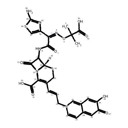 CC(C)(O/N=C(\C(=O)NC1C(=O)N2C(C(=O)O)=C(/C=C/Cn3ccc4cc(=O)c(O)cc-4c3)CS[C@@H]12)c1csc(N)n1)C(=O)O